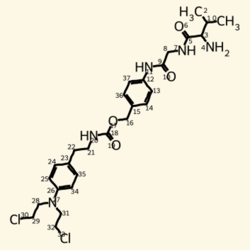 CC(C)C(N)C(=O)NCC(=O)Nc1ccc(COC(=O)NCCc2ccc(N(CCCl)CCCl)cc2)cc1